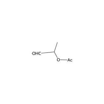 CC(=O)OC(C)[C]=O